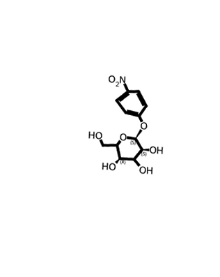 O=[N+]([O-])c1ccc(O[C@@H]2OC(CO)[C@H](O)C(O)[C@@H]2O)cc1